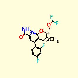 C[C@H]1Cc2c(-c3ccc(F)cc3F)cc(C(N)=O)nc2O[C@@H]1COC(F)F